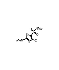 CNc1nc(Cl)c(S(=O)(=O)NC)s1